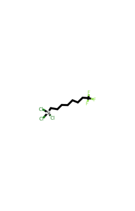 FC(F)(F)CCCCCCC[Si](Cl)(Cl)Cl